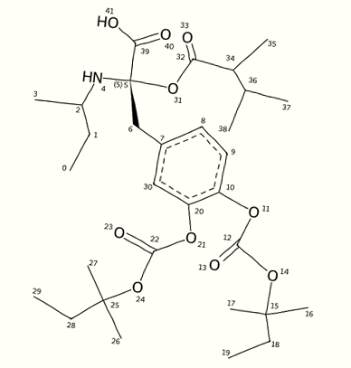 CCC(C)N[C@@](Cc1ccc(OC(=O)OC(C)(C)CC)c(OC(=O)OC(C)(C)CC)c1)(OC(=O)C(C)C(C)C)C(=O)O